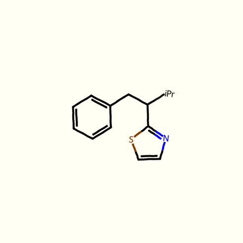 CC(C)C(Cc1ccccc1)c1nccs1